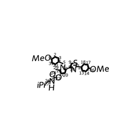 COc1ccc(Cn2c(-c3csc(-c4ccc(OC)cc4)n3)cc(OC(=O)NCC(C)C)c2C)cc1